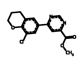 COC(=O)c1cc(-c2cc(Cl)c3c(c2)CCCO3)ncn1